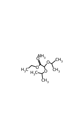 CCOC(=O)C(OC(C)C)OC(C)C.[AlH3]